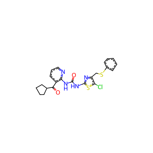 O=C(Nc1nc(CSc2ccccc2)c(Cl)s1)Nc1ncccc1C(=O)C1CCCC1